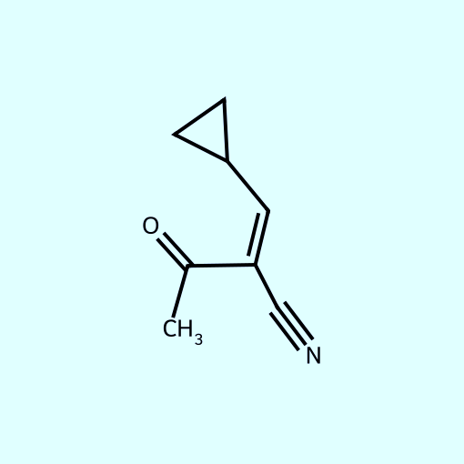 CC(=O)C(C#N)=CC1CC1